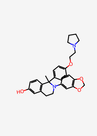 CC1(c2ccc(OCCN3CCCC3)cc2)c2ccc(O)cc2CCN1c1ccc2c(c1)OCO2